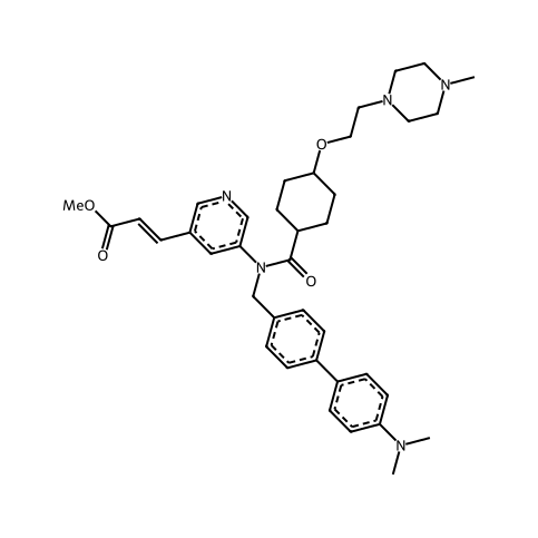 COC(=O)/C=C/c1cncc(N(Cc2ccc(-c3ccc(N(C)C)cc3)cc2)C(=O)C2CCC(OCCN3CCN(C)CC3)CC2)c1